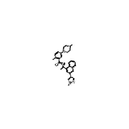 Cc1ccc(N2CCN(C)CC2)cc1C(=O)NC(C)c1cc(-c2cnn(C)c2)cc2ccccc12